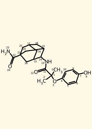 CC(C)(Oc1ccc(O)cc1)C(=O)NC1C2CC3CC1CC(C(N)=O)(C3)C2